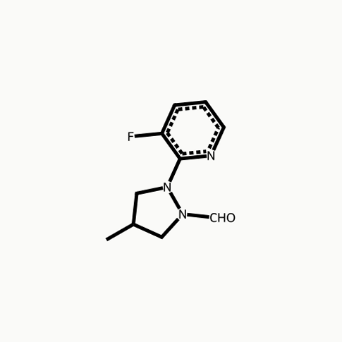 CC1CN(C=O)N(c2ncccc2F)C1